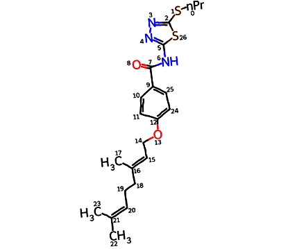 CCCSc1nnc(NC(=O)c2ccc(OC/C=C(\C)CCC=C(C)C)cc2)s1